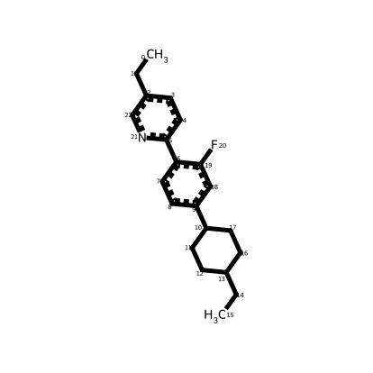 CCc1ccc(-c2ccc(C3CCC(CC)CC3)cc2F)nc1